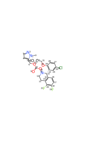 Cn1nccc1COC(=O)ON1CCc2c(ccc(F)c2F)[C@H]1c1cc(Cl)ccc1OCC(=O)O